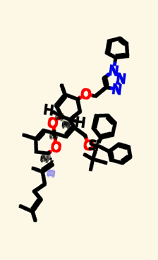 CC(C)=CCC/C(C)=C/[C@@H]1CC(C)=C[C@]2(C=C(CO[Si](c3ccccc3)(c3ccccc3)C(C)(C)C)[C@H]3CC(OCc4cn(-c5ccccc5)nn4)C(C)=C[C@H]3O2)O1